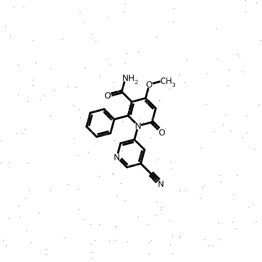 COc1cc(=O)n(-c2cncc(C#N)c2)c(-c2ccccc2)c1C(N)=O